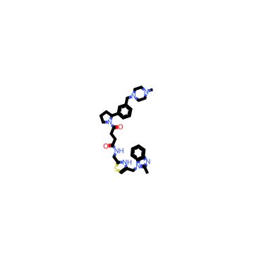 Cc1nc2ccccc2n1CC1=CSC(CNC(=O)CCC(=O)N2CCCC2c2cccc(CN3CCN(C)CC3)c2)N1